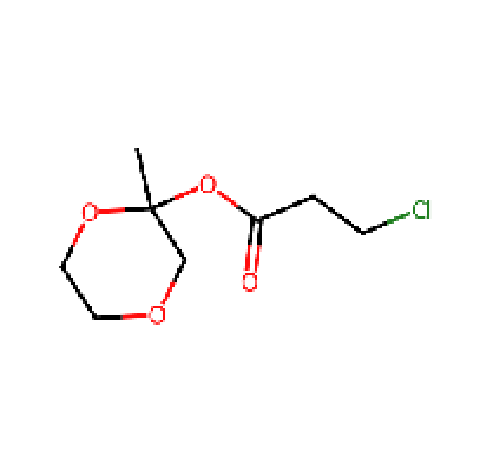 CC1(OC(=O)CCCl)COCCO1